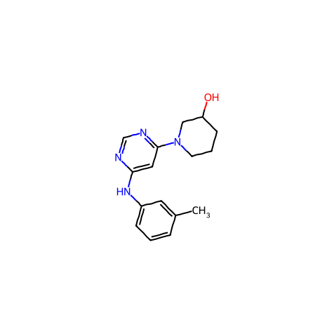 Cc1cccc(Nc2cc(N3CCCC(O)C3)ncn2)c1